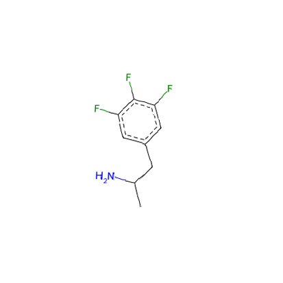 CC(N)Cc1cc(F)c(F)c(F)c1